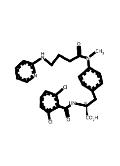 CN(C(=O)CCCNc1ccccn1)c1ccc(C[C@H](NC(=O)c2c(Cl)cccc2Cl)C(=O)O)cc1